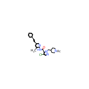 CC(=O)N1CCC(Cn2ncc(Cl)c2C(=O)Nc2ncc(C#Cc3ccccc3)cc2C)CC1